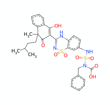 CC(C)CCC1(C)C(=O)C(C2=NS(=O)(=O)c3cc(NS(=O)(=O)N(Cc4ccccc4)C(=O)O)ccc3N2)=C(O)c2ccccc21